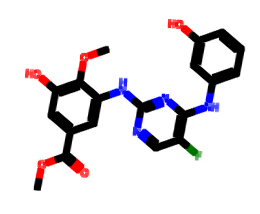 COC(=O)c1cc(O)c(OC)c(Nc2ncc(F)c(Nc3cccc(O)c3)n2)c1